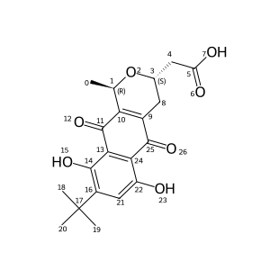 C[C@H]1O[C@H](CC(=O)O)CC2=C1C(=O)c1c(O)c(C(C)(C)C)cc(O)c1C2=O